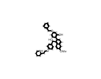 COc1ccc2c(C(O)c3ccc(OCCC4CCCCN4)cc3)c(-c3ccc(OCc4ccccc4)cc3O)ccc2c1